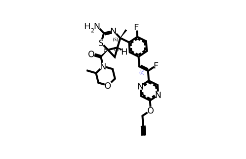 C#CCOc1cnc(/C(F)=C/c2ccc(F)c([C@@]3(C)N=C(N)S[C@@]4(C(=O)N5CCOCC5C)C[C@H]43)c2)cn1